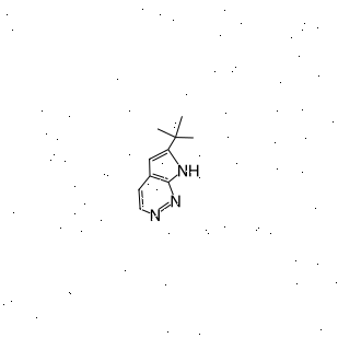 CC(C)(C)c1cc2ccnnc2[nH]1